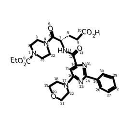 CCOC(=O)N1CCN(C(=O)[C@H](CCC(=O)O)NC(=O)c2cc(N3CCOCC3)nc(-c3ccccc3)n2)CC1